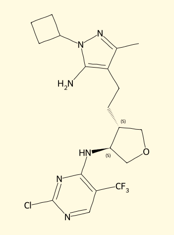 Cc1nn(C2CCC2)c(N)c1CC[C@@H]1COC[C@H]1Nc1nc(Cl)ncc1C(F)(F)F